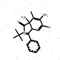 CC1=C(N)C(Cl)=CC(C(=O)c2ccccc2)C1(N)C(=O)OC(C)(C)C